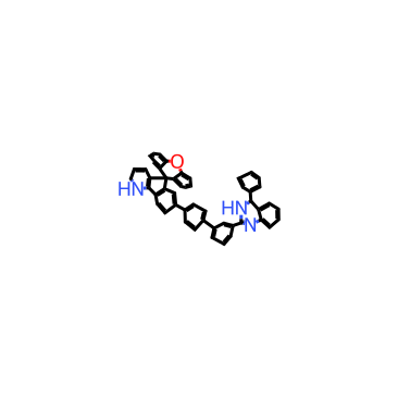 C1=CC2=C(NC1)c1ccc(-c3ccc(-c4cccc(C5=Nc6ccccc6C(c6ccccc6)N5)c4)cc3)cc1C21c2ccccc2Oc2ccccc21